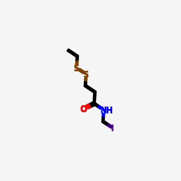 CCSSCCC(=O)NCI